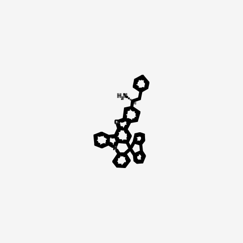 N[C@H](Cc1ccccc1)c1ccc2c(c1)oc1c2cc2c3c1c1ccccc1n3-c1ccccc1C21c2ccccc2-c2ccccc21